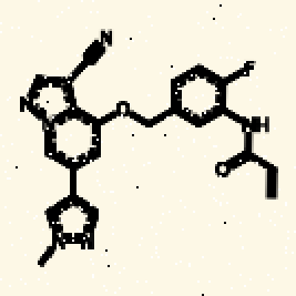 C=CC(=O)Nc1cc(COc2cc(-c3cnn(C)c3)cn3ncc(C#N)c23)ccc1F